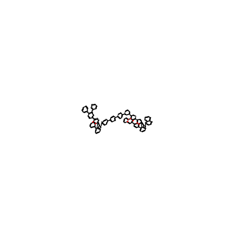 c1ccc(-c2ccc(-c3ccccc3N(c3ccc(-c4ccc(-c5cccc(-c6ccc(-c7ccc(-c8ccc(N(c9ccc(-c%10ccc(-c%11ccccc%11)c(-c%11ccccc%11)c%10)cc9)c9ccccc9-c9ccccc9)cc8)cc7)cc6)c5)c(-c5ccccc5)c4)cc3)c3cccc4ccccc34)cc2)cc1